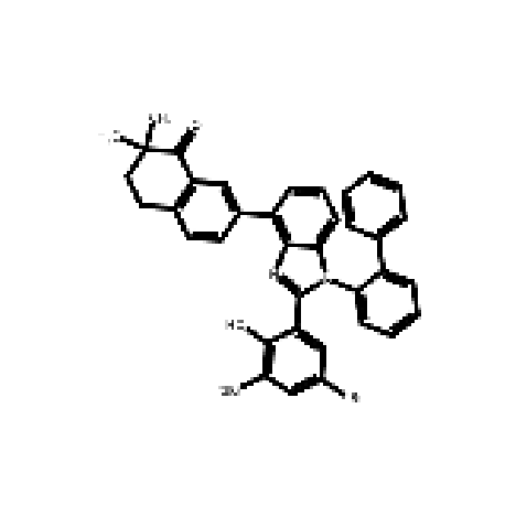 CC1(C)CCc2ccc(-c3cccc4c3nc(-c3cc(C(C)(C)C)cc(C(C)(C)C)c3O)n4-c3ccccc3-c3ccccc3)cc2C1=O